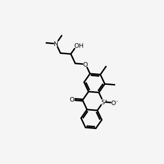 Cc1c(OCC(O)CN(C)C)cc2c(=O)c3ccccc3[s+]([O-])c2c1C